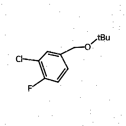 CC(C)(C)OCc1ccc(F)c(Cl)c1